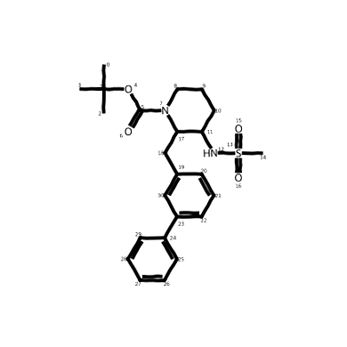 CC(C)(C)OC(=O)N1CCCC(NS(C)(=O)=O)C1Cc1cccc(-c2ccccc2)c1